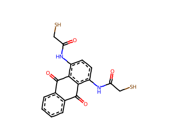 O=C(CS)Nc1ccc(NC(=O)CS)c2c1C(=O)c1ccccc1C2=O